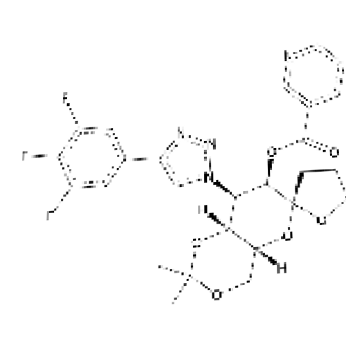 CC1(C)OC[C@H]2O[C@]3(CCCO3)[C@H](OC(=O)c3cccnc3)[C@H](n3cc(-c4cc(F)c(F)c(F)c4)nn3)[C@H]2O1